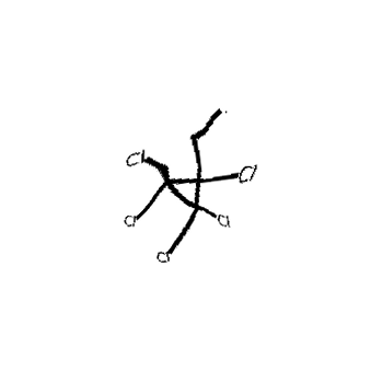 [CH2]CC1(Cl)C(Cl)(Cl)C1(Cl)Cl